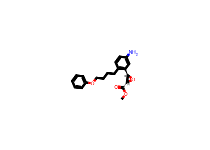 COC(=O)[C@H]1O[C@@H]1c1cc(N)ccc1CCCCOc1ccccc1